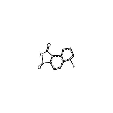 O=C1OC(=O)c2c1ccc1c(F)cccc21